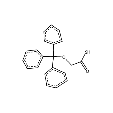 O=C(S)COC(c1ccccc1)(c1ccccc1)c1ccccc1